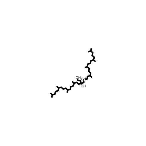 CC(C)CCCC(C)CCCC(C)CCCC(C)CCOCC(O)(CCC(C)CCCC(C)CCCC(C)CCCC(C)C)C(O)CO